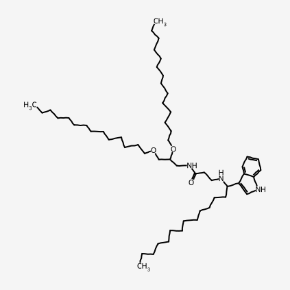 CCCCCCCCCCCCCCOCC(CNC(=O)CCNC(CCCCCCCCCCCCC)c1c[nH]c2ccccc12)OCCCCCCCCCCCCCC